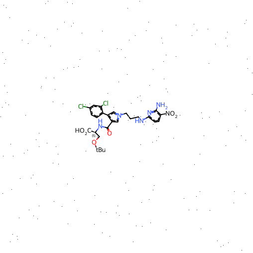 CC(C)(C)OC[C@H](NC(=O)c1cn(CCCNc2ccc([N+](=O)[O-])c(N)n2)cc1-c1ccc(Cl)cc1Cl)C(=O)O